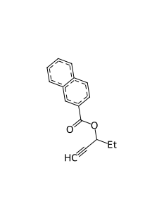 C#CC(CC)OC(=O)c1ccc2ccccc2c1